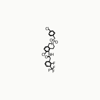 O=C(Cc1cccc(C(F)(F)F)c1F)Nc1c(Cl)ccc2c1CCN(S(=O)(=O)Cc1ccc(Cl)cc1)C2